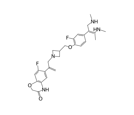 C=C(CN1CC(COc2ccc(/C(CNC)=C(\C)NC)cc2F)C1)c1cc2c(cc1F)OCC(=O)N2